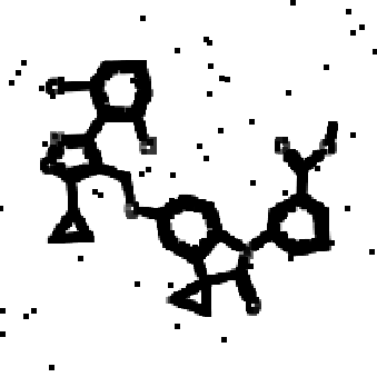 COC(=O)c1cccc(N2C(=O)C3(CC3)c3cc(OCc4c(-c5c(Cl)cccc5Cl)noc4C4CC4)ccc32)c1